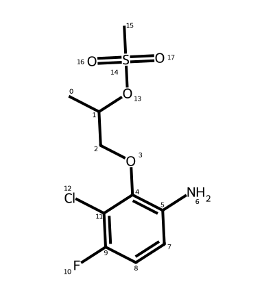 CC(COc1c(N)ccc(F)c1Cl)OS(C)(=O)=O